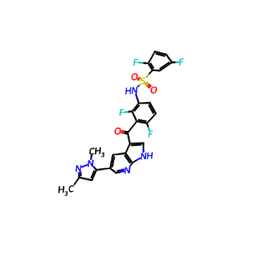 Cc1cc(-c2cnc3[nH]cc(C(=O)c4c(F)ccc(NS(=O)(=O)c5cc(F)ccc5F)c4F)c3c2)n(C)n1